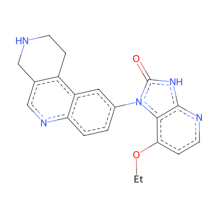 CCOc1ccnc2[nH]c(=O)n(-c3ccc4ncc5c(c4c3)CCNC5)c12